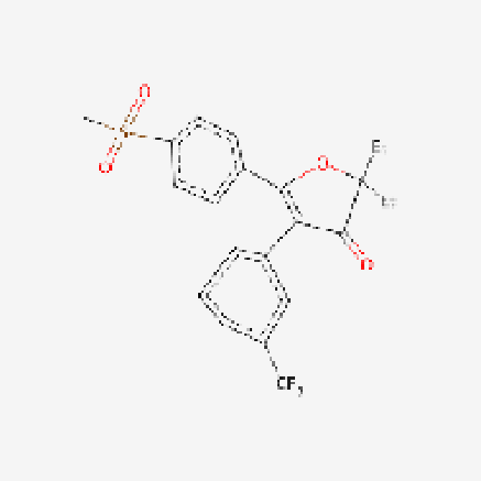 CCC1(CC)OC(c2ccc(S(C)(=O)=O)cc2)=C(c2cccc(C(F)(F)F)c2)C1=O